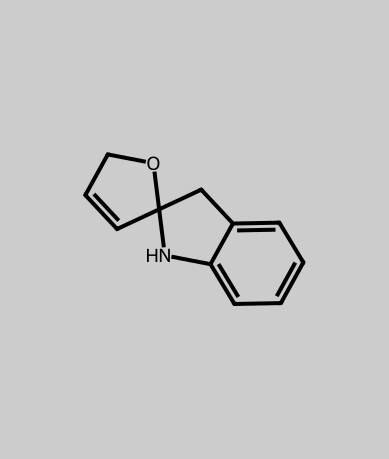 C1=CC2(Cc3ccccc3N2)OC1